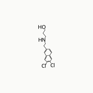 OCCCNCCc1ccc2cc(Cl)c(Cl)cc2c1